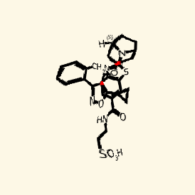 Cc1ccccc1-c1noc(C2CC2)c1CO[C@@H]1CC2CC[C@@H](C1)N2c1nc2ccc(C(=O)NCCS(=O)(=O)O)cc2s1